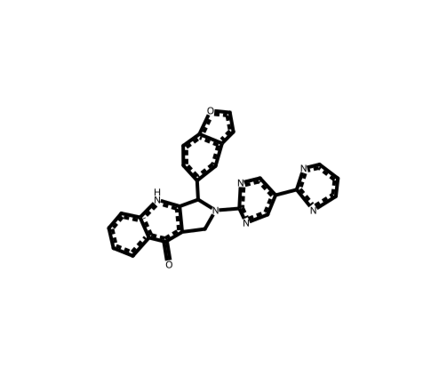 O=c1c2c([nH]c3ccccc13)C(c1ccc3occc3c1)N(c1ncc(-c3ncccn3)cn1)C2